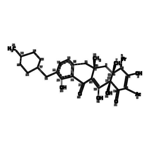 CC(=O)C1=C(O)C(C(C)C)[C@@]2(C)C[C@@]3(C)Cc4ccc(CC5CCC(C)CC5)c(O)c4C(=O)C3=C(O)[C@@]2(O)C1=O